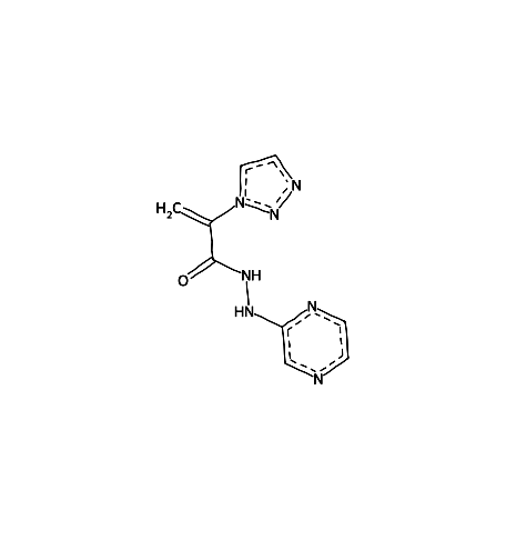 C=C(C(=O)NNc1cnccn1)n1ccnn1